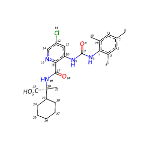 Cc1cc(C)c(NC(=O)Nc2cc(Cl)cnc2C(=O)N[C@](C)(C(=O)O)C2CCCCC2)c(C)c1